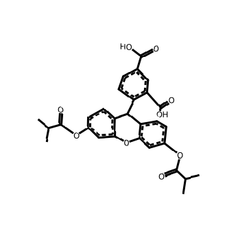 CC(C)C(=O)Oc1ccc2c(c1)Oc1cc(OC(=O)C(C)C)ccc1C2c1ccc(C(=O)O)cc1C(=O)O